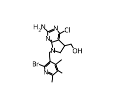 Cc1nc(Br)c(CN2CC(CO)c3c(Cl)nc(N)nc32)c(C)c1C